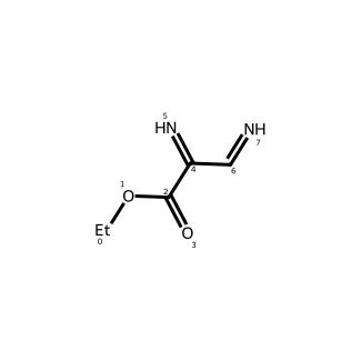 CCOC(=O)C(=N)C=N